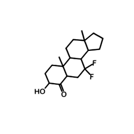 CC12CCCC1C1C(CC2)C2(C)CCC(O)C(=O)C2CC1(F)F